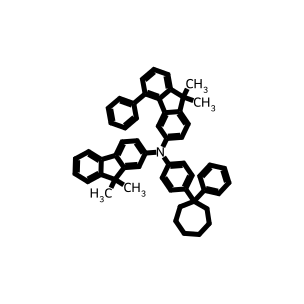 CC1(C)c2ccccc2-c2ccc(N(c3ccc(C4(c5ccccc5)CCCCCC4)cc3)c3ccc4c(c3)-c3c(-c5ccccc5)cccc3C4(C)C)cc21